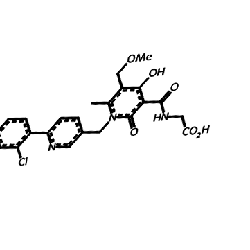 COCc1c(O)c(C(=O)NCC(=O)O)c(=O)n(Cc2ccc(-c3ccccc3Cl)nc2)c1C